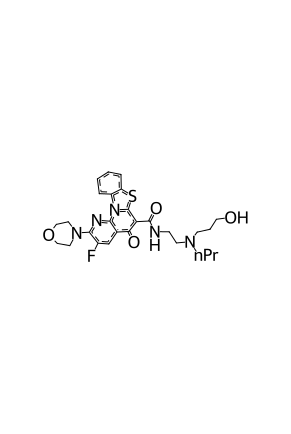 CCCN(CCCO)CCNC(=O)c1c(=O)c2cc(F)c(N3CCOCC3)nc2n2c1sc1ccccc12